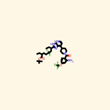 CCC(CCC(F)(F)CC(CC)C1=NC2=C(C3CCN(C(=O)c4ccc(OC(F)(F)F)cc4N)CC3)C=CNC2N1)C(=O)OC(C)(C)C